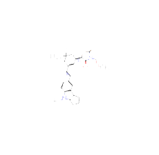 CCN1c2ccc(/C=C/C3=CC(=C4/SC(=S)N(COC=O)C4=O)/CC(C)(C)C3)cc2C2CCCC21